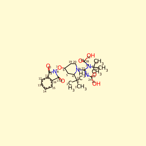 CC(C)(C)C1CC(ON2C(=O)c3ccccc3C2=O)CCN1C(=NC(=O)O)N(C(=O)O)C(C)(C)C